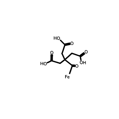 CC(=O)C(CC(=O)O)(CC(=O)O)CC(=O)O.[Fe]